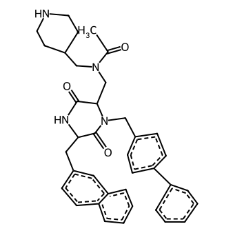 CC(=O)N(CC1CCNCC1)CC1C(=O)NC(Cc2ccc3ccccc3c2)C(=O)N1Cc1ccc(-c2ccccc2)cc1